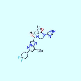 CC(C)(C)c1cc(C2CCC(F)(F)CC2)nn2cc(C(=O)N3CCN(c4c[nH]cn4)C(=O)C3(C)C)nc12